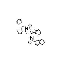 O=C(NC[C@@H]1CCN(CC(c2ccccc2)c2ccccc2)C(=O)[C@H](Cc2ccccc2)N1)c1ccc2ccccc2c1